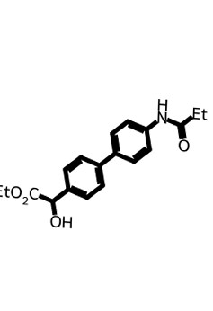 CCOC(=O)C(O)c1ccc(-c2ccc(NC(=O)CC)cc2)cc1